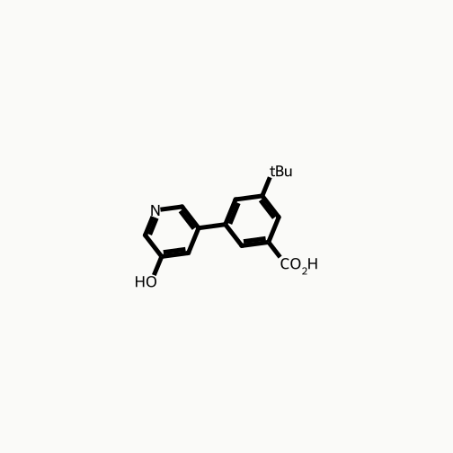 CC(C)(C)c1cc(C(=O)O)cc(-c2cncc(O)c2)c1